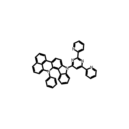 c1ccc(N2c3cccc4cccc(c34)-c3ccc4c(c32)c2ccccc2n4-c2cc(-c3ccccn3)nc(-c3ccccn3)n2)cc1